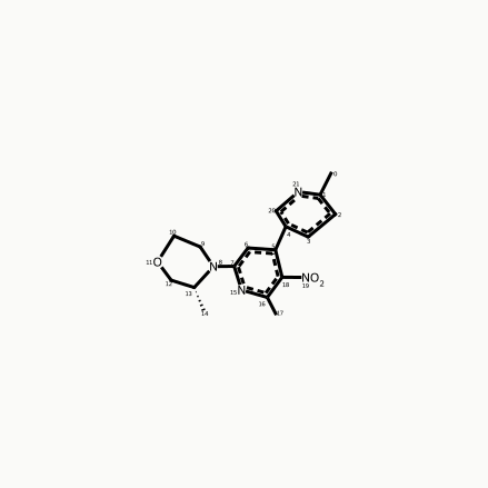 Cc1ccc(-c2cc(N3CCOC[C@H]3C)nc(C)c2[N+](=O)[O-])cn1